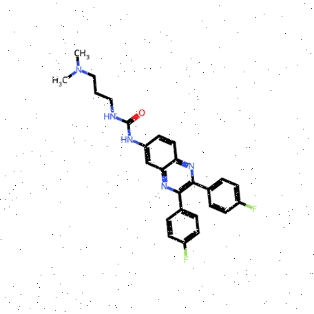 CN(C)CCCNC(=O)Nc1ccc2nc(-c3ccc(F)cc3)c(-c3ccc(F)cc3)nc2c1